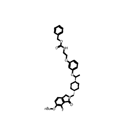 CCCCOc1ccc2c(c1F)C(=O)N(C[C@H]1CC[C@H](C(C)Oc3cccc(OCCNC(=O)OCc4ccccc4)c3)CC1)C2